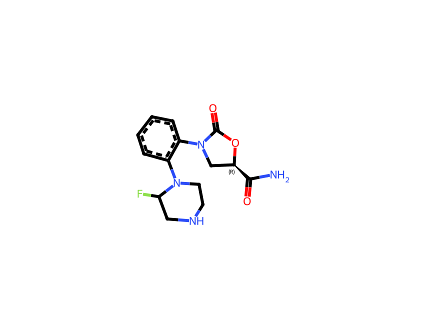 NC(=O)[C@H]1CN(c2ccccc2N2CCNCC2F)C(=O)O1